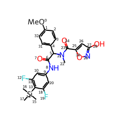 COc1ccc(C(C(=O)Nc2cc(F)c([Si](C)(C)C)c(F)c2)N(C)C(=O)c2cc(O)no2)cc1